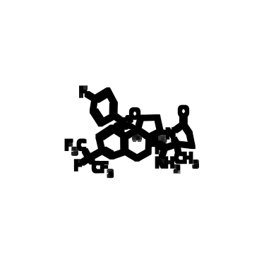 CC1(C(N)=O)CCC(=O)N1[C@@H]1CC[C@@]2(S(=O)(=O)c3ccc(F)cc3)c3ccc(C(F)(C(F)(F)F)C(F)(F)F)cc3CC[C@@H]12